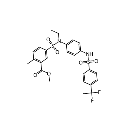 CCN(c1ccc(NS(=O)(=O)c2ccc(C(F)(F)F)cc2)cc1)S(=O)(=O)c1ccc(C)c(C(=O)OC)c1